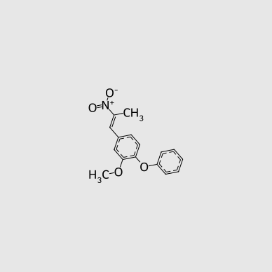 COc1cc(/C=C(\C)[N+](=O)[O-])ccc1Oc1ccccc1